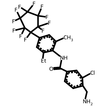 CCc1cc(C2(F)C(F)(F)C(F)(F)C(F)(F)C(F)(F)C2(F)F)cc(C)c1NC(=O)c1ccc(CN)c(Cl)c1